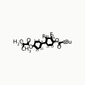 C=C(C)C(=O)Oc1ccc(-c2ccc(OC(=O)C(C)(C)C)c(F)c2F)cc1